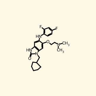 CN(C)CCOc1cc2c(cc1Nc1ccc(F)cc1F)[nH]c(=O)n2CC1CCCCC1